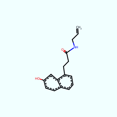 C=CCNC(=O)CCc1cccc2ccc(O)cc12